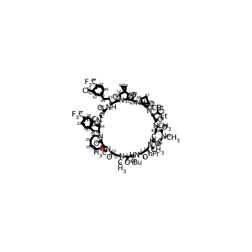 CCC[C@H]1C(=O)N[C@@H]([C@@H](C)CC)C(=O)N(C)CC(=O)N(C)[C@H]2C/C=C\CCN(C2=O)[C@@H](Cc2ccc(C(F)(F)F)cc2)C(=O)N(C)CC(=O)N[C@@H](CCc2ccc(C(F)(F)F)c(Cl)c2)C(=O)N2CC3(CC3)C[C@H]2C(=O)NC2(CCC2)C(=O)N(C)[C@@H](C(CC)CC)C(=O)N(C)[C@H](C(=O)N(C)C)CC(=O)N1C